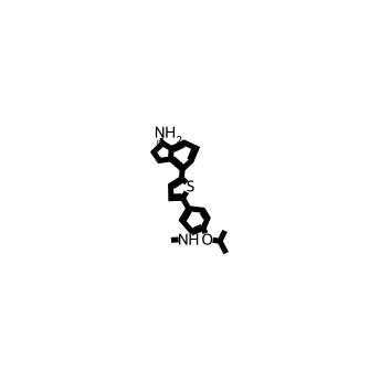 CNc1cc(-c2ccc(-c3cccc4c3CC[C@H]4N)s2)ccc1OC(C)C